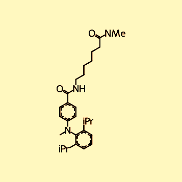 CNC(=O)CCCCCCNC(=O)c1ccc(N(C)c2c(C(C)C)cccc2C(C)C)cc1